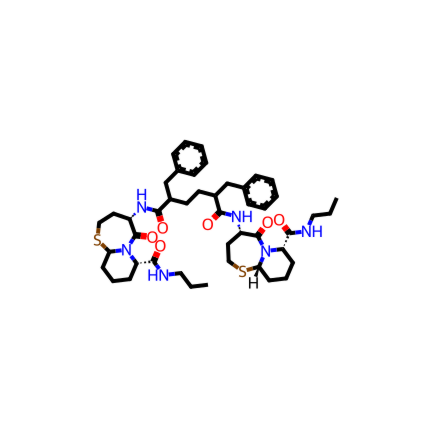 CCCNC(=O)[C@@H]1CCCC2SCC[C@H](NC(=O)C(CCC(Cc3ccccc3)C(=O)N[C@H]3CCS[C@H]4CCC[C@@H](C(=O)NCCC)N4C3=O)Cc3ccccc3)C(=O)N21